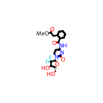 COC(=O)Cc1ccccc1C(=O)Nc1ccn([C@@H]2O[C@H](CO)[C@@H](O)C2(F)F)c(=O)n1